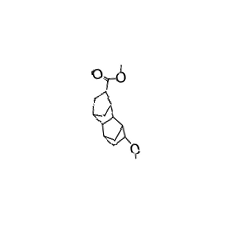 COC(=O)C1CC2CC1C1C3CC(CC3OC)C21